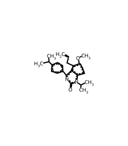 C=CCc1c(OC)ccc2c1c(-c1ccc(C(C)C)cc1)nc(=O)n2C(C)C